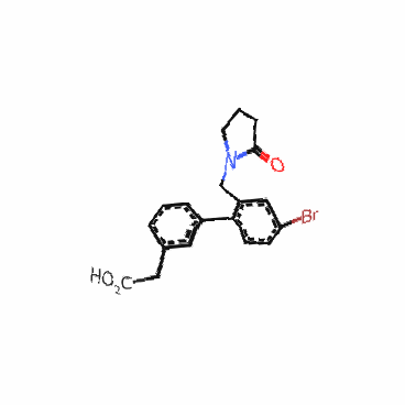 O=C(O)Cc1cccc(-c2ccc(Br)cc2CN2CCCC2=O)c1